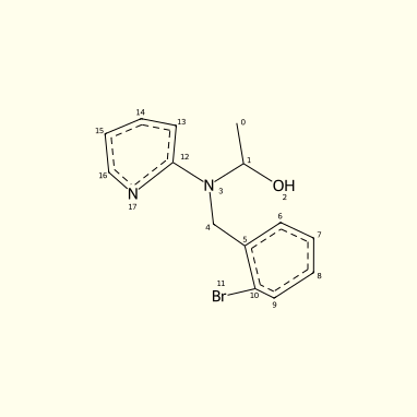 CC(O)N(Cc1ccccc1Br)c1ccccn1